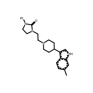 Cc1ccc2c(C3CCN(CCN4CCN(C(C)C)C4=O)CC3)c[nH]c2c1